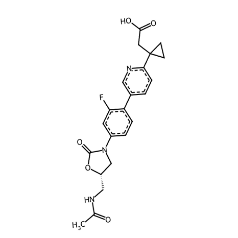 CC(=O)NC[C@H]1CN(c2ccc(-c3ccc(C4(CC(=O)O)CC4)nc3)c(F)c2)C(=O)O1